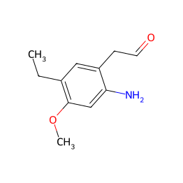 CCc1cc(CC=O)c(N)cc1OC